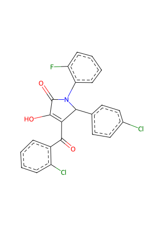 O=C(C1=C(O)C(=O)N(c2ccccc2F)C1c1ccc(Cl)cc1)c1ccccc1Cl